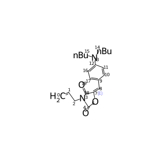 C=CCN1C(=O)O/C(=C/c2ccc(N(CCCC)CCCC)cc2)C1=O